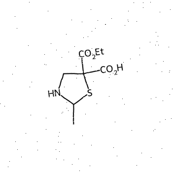 CCOC(=O)C1(C(=O)O)CNC(C)S1